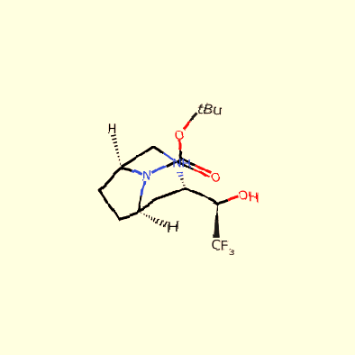 CC(C)(C)OC(=O)N1[C@H]2CC[C@@H]1[C@@H]([C@@H](O)C(F)(F)F)NC2